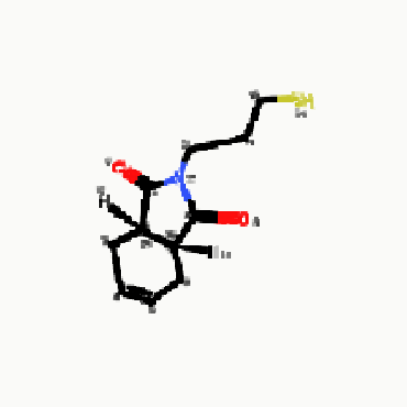 O=C1[C@H]2CC=CC[C@H]2C(=O)N1CCCS